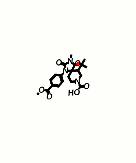 COC(=O)c1ccc(N2C(=O)N(C)C(=O)C23CCN(C(=O)O)CC3C(C)(C)C)cc1